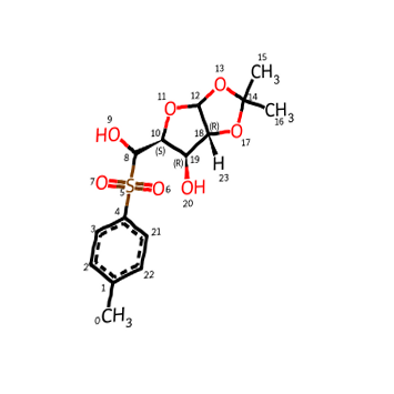 Cc1ccc(S(=O)(=O)C(O)[C@H]2OC3OC(C)(C)O[C@@H]3[C@H]2O)cc1